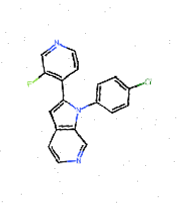 Fc1cnccc1-c1cc2ccncc2n1-c1ccc(Cl)cc1